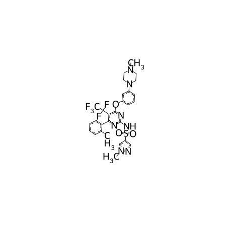 Cc1ccccc1-c1nc(NS(=O)(=O)c2cnn(C)c2)nc(Oc2cccc(N3CCN(C)CC3)c2)c1C(F)(F)C(F)(F)F